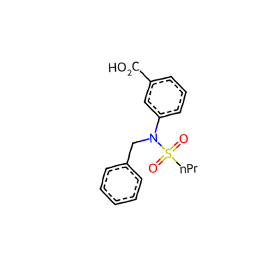 CCCS(=O)(=O)N(Cc1ccccc1)c1cccc(C(=O)O)c1